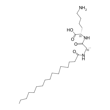 CCCCCCCCCCCCCCCC(=O)N[C@@H](C)C(=O)N[C@@H](CCCCN)C(=O)O